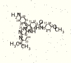 COc1ccc(NC(=O)c2ccc(Sc3ccc(N)cc3)c(Nc3ncnc4nc(C(C)C)ccc34)c2)cc1